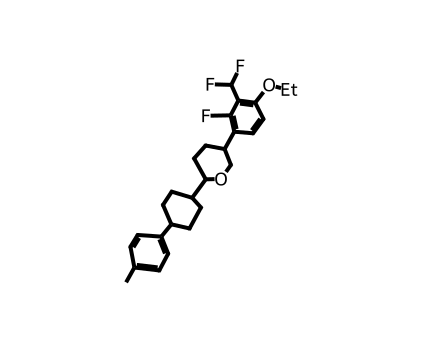 CCOc1ccc(C2CCC(C3CCC(c4ccc(C)cc4)CC3)OC2)c(F)c1C(F)F